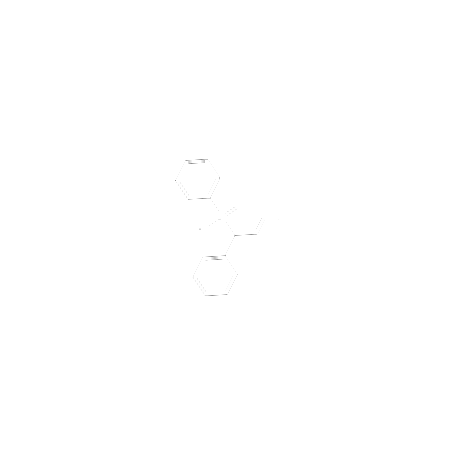 C=CC(c1ccccc1)P(=O)(O)c1ccccc1